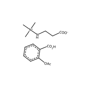 CC(=O)Oc1ccccc1C(=O)O.C[N+](C)(C)NCCC(=O)[O-]